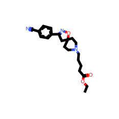 CCOC(=O)CCCCN1CCC2(CC1)CC(c1ccc(C#N)cc1)=NO2